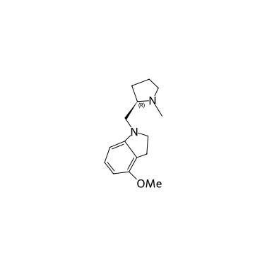 COc1cccc2c1CCN2C[C@H]1CCCN1C